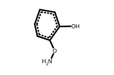 NOc1ccccc1O